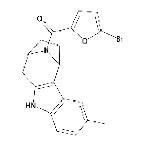 Cc1ccc2[nH]c3c(c2c1)C1CCC(C3)N1C(=O)c1ccc(Br)o1